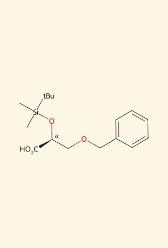 CC(C)(C)[Si](C)(C)O[C@@H](COCc1ccccc1)C(=O)O